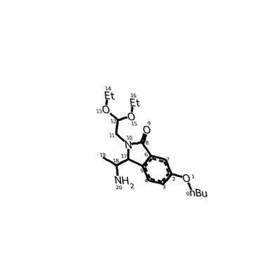 CCCCOc1ccc2c(c1)C(=O)N(CC(OCC)OCC)C2C(C)N